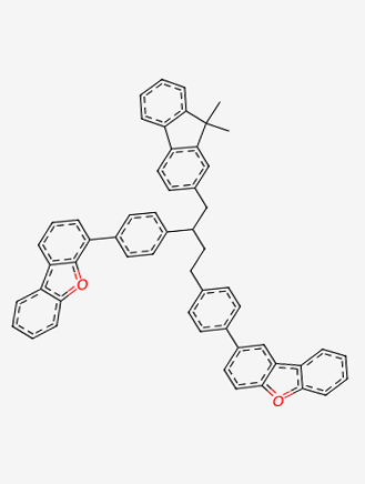 CC1(C)c2ccccc2-c2ccc(CC(CCc3ccc(-c4ccc5oc6ccccc6c5c4)cc3)c3ccc(-c4cccc5c4oc4ccccc45)cc3)cc21